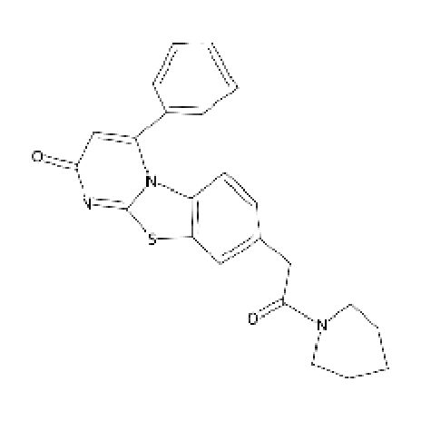 O=C(Cc1ccc2c(c1)sc1nc(=O)cc(-c3ccccc3)n12)N1CCCCC1